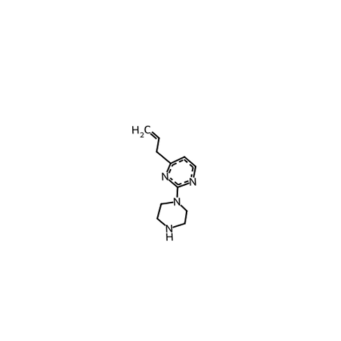 C=CCc1ccnc(N2CCNCC2)n1